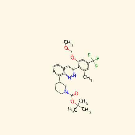 COCOc1cc(C(F)(F)F)cc(C)c1-c1cc2cccc(C3CCCN(C(=O)OC(C)(C)C)C3)c2nn1